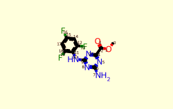 COC(=O)c1nc(N)nc(Nc2c(F)cc(F)cc2F)n1